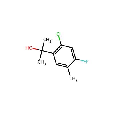 Cc1cc(C(C)(C)O)c(Cl)cc1F